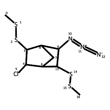 CSSC1C(Cl)C2CC1C(N=[N+]=[N-])C2SSC